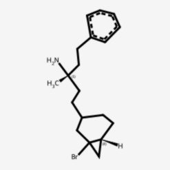 C[C@@](N)(CCc1ccccc1)CCC1CC[C@@H]2CC2(Br)C1